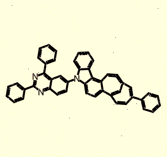 C1=Cc2c(ccc3c2c2ccccc2n3-c2ccc3nc(-c4ccccc4)nc(-c4ccccc4)c3c2)C2=CC=1C=C(c1ccccc1)C=C2